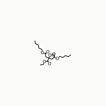 CCCCCOC(=O)CC(O)(CC(=O)OCCCCC)C(=O)OCC